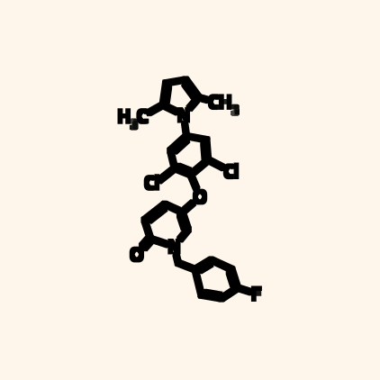 Cc1ccc(C)n1-c1cc(Cl)c(Oc2ccc(=O)n(Cc3ccc(F)cc3)c2)c(Cl)c1